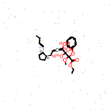 CC/C=C/[C@H]1CCC[C@@H]1CC=C=C([16OH])C([16OH])([16OH])C(OC)(Oc1ccccc1)C(=O)OCC